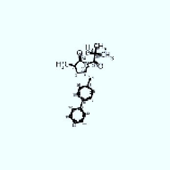 CC1C[C@@H](Cc2ccc(-c3ccccc3)cc2)N(C(=O)C(C)(C)C)C1=O